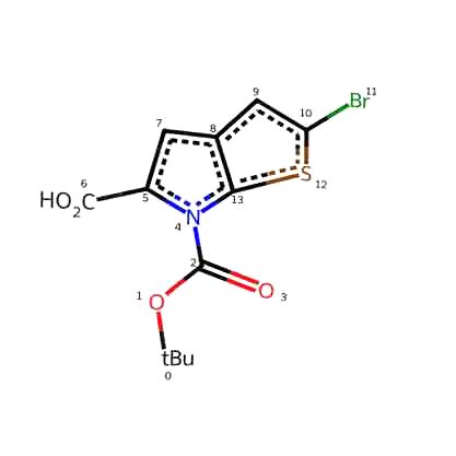 CC(C)(C)OC(=O)n1c(C(=O)O)cc2cc(Br)sc21